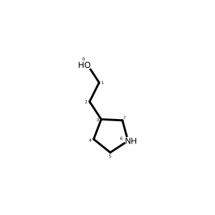 OC[CH]C1CCNC1